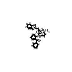 C[C@@H]1CCC[N+]1(C(=O)CCc1nc2ccccc2[nH]1)C(=O)Nc1ccccc1C(=O)c1ccccc1